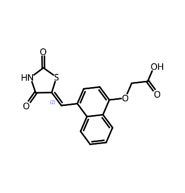 O=C(O)COc1ccc(/C=C2\SC(=O)NC2=O)c2ccccc12